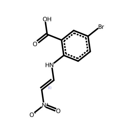 O=C(O)c1cc(Br)ccc1N/C=C/[N+](=O)[O-]